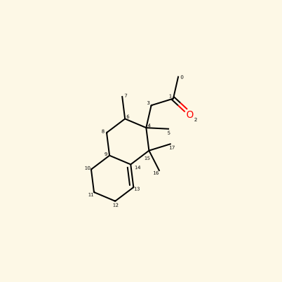 CC(=O)CC1(C)C(C)CC2CCCC=C2C1(C)C